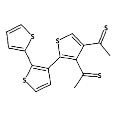 CC(=S)c1csc(-c2ccsc2-c2cccs2)c1C(C)=S